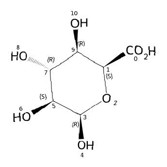 O=C(O)[C@H]1O[C@@H](O)[C@@H](O)[C@H](O)[C@H]1O